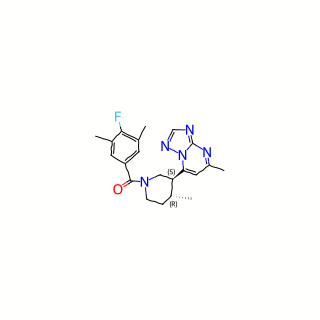 Cc1cc([C@@H]2CN(C(=O)c3cc(C)c(F)c(C)c3)CC[C@H]2C)n2ncnc2n1